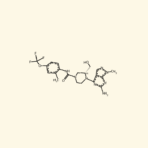 Cc1cc(OC(F)(F)F)ccc1NC(=O)N1CCN(c2nc(N)nc3c2cnn3C)[C@@H](CO)C1